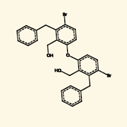 OCc1c(Oc2ccc(Br)c(Cc3ccccc3)c2CO)ccc(Br)c1Cc1ccccc1